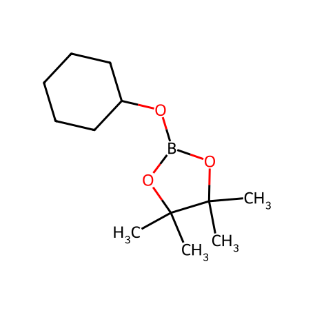 CC1(C)OB(OC2CCCCC2)OC1(C)C